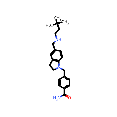 CC(C)(C)CCNCc1ccc2c(c1)CCN2Cc1ccc(C(N)=O)cc1